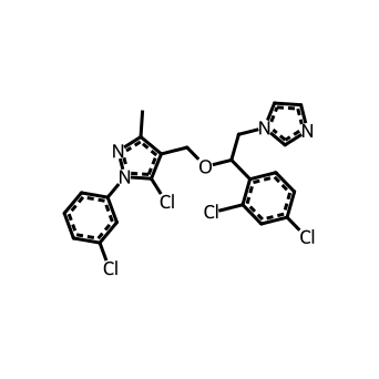 Cc1nn(-c2cccc(Cl)c2)c(Cl)c1COC(Cn1ccnc1)c1ccc(Cl)cc1Cl